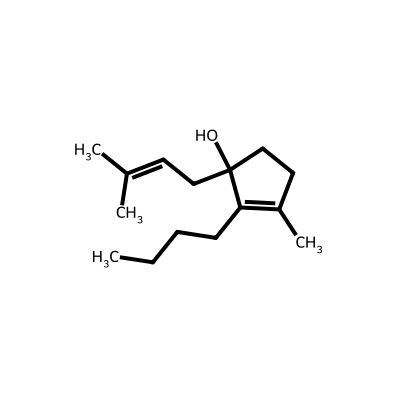 CCCCC1=C(C)CCC1(O)CC=C(C)C